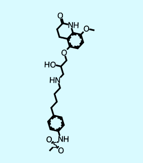 COc1ccc(OCC(O)CNCCCCc2ccc(NS(C)(=O)=O)cc2)c2c1NC(=O)CC2